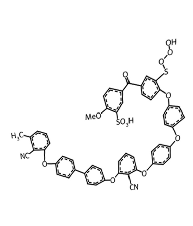 COc1ccc(C(=O)c2ccc(Oc3ccc(Oc4ccc(Oc5cccc(Oc6ccc(-c7ccc(Oc8cccc(C)c8C#N)cc7)cc6)c5C#N)cc4)cc3)c(SOOO)c2)cc1S(=O)(=O)O